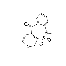 CN1c2ccccc2C(=O)c2ccncc2S1(=O)=O